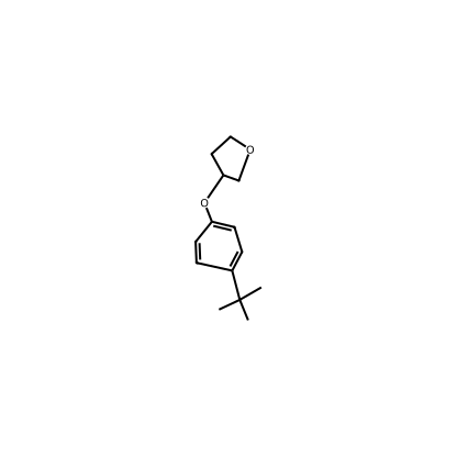 CC(C)(C)c1ccc(OC2CCOC2)cc1